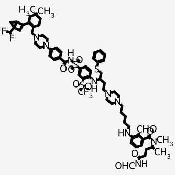 CC(CCC(=O)NC=O)N(C)C(=O)c1cccc(NCCCCCN2CCN(CCC(CSc3ccccc3)Nc3ccc(S(=O)(=O)NC(=O)c4ccc(N5CCN(CC6=C(C7CC8(C(F)F)CC78)CC(C)(C)CC6)CC5)cc4)cc3S(=O)(=O)C(F)(F)F)CC2)c1C=O